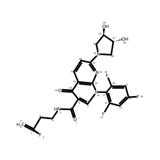 C=C(F)CCNC(=O)c1cn(-c2c(F)cc(F)cc2F)c2nc(N3C[C@@H](O)[C@H](O)C3)ccc2c1=O